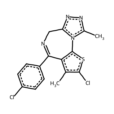 Cc1c(Cl)sc2c1C(c1ccc(Cl)cc1)=NCc1nnc(C)n1-2